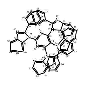 c1ccc(-c2cc3ccccc3n2-c2c(-n3c(-c4ccccc4)nc4ccccc43)nc(-n3c(-c4ccccc4)nc4ccccc43)nc2-n2c(-c3ccccc3)nc3ccccc32)cc1